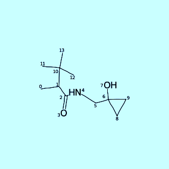 CC(C(=O)NCC1(O)CC1)C(C)(C)C